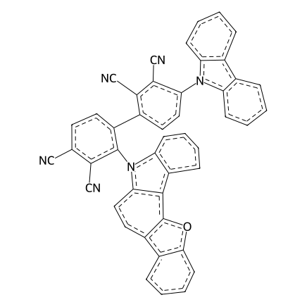 N#Cc1ccc(-c2ccc(-n3c4ccccc4c4ccccc43)c(C#N)c2C#N)c(-n2c3ccccc3c3c4oc5ccccc5c4ccc32)c1C#N